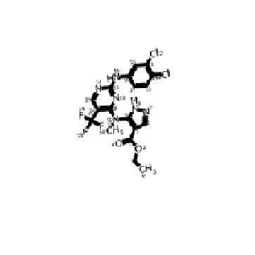 CCOC(=O)c1cn[nH]c1N(C)c1nc(Nc2ccc(Cl)c(Cl)c2)ncc1C(F)(F)F